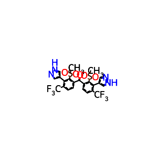 CS(=O)(=O)c1c(C(=O)c2ccc(C(F)(F)F)c(-c3cn[nH]c3)c2S(C)(=O)=O)ccc(C(F)(F)F)c1-c1cn[nH]c1